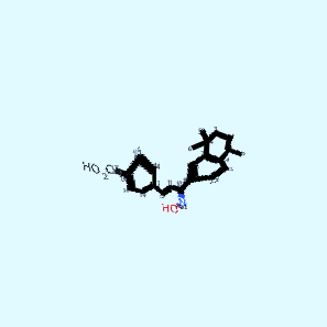 CC1=CCC(C)(C)c2cc(C(/C=C/c3ccc(C(=O)O)cc3)=NO)ccc21